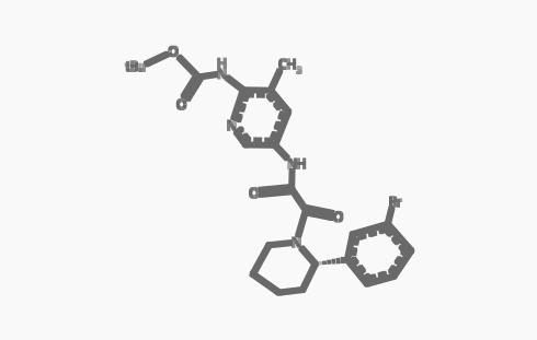 Cc1cc(NC(=O)C(=O)N2CCCC[C@H]2c2cccc(Br)c2)cnc1NC(=O)OC(C)(C)C